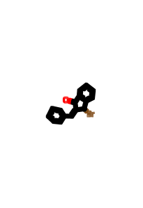 O=C1C(=Cc2ccccc2)C(Br)c2ccccc21